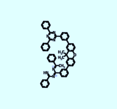 C/C(=N\C(=N/C(=N)c1ccccc1)c1cccc(-c2ccc3c(c2)C(C)(C)c2cc(-c4cccc(-c5nc(-c6ccccc6)nc(-c6ccccc6)n5)c4)ccc2O3)c1)c1ccccc1